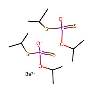 CC(C)OP([O-])(=S)SC(C)C.CC(C)OP([O-])(=S)SC(C)C.[Ba+2]